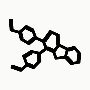 C=Cc1ccc(-c2ccc3c(c2-c2ccc(C=C)cc2)Cc2ccccc2-3)cc1